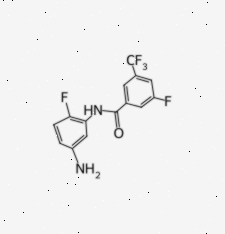 Nc1ccc(F)c(NC(=O)c2cc(F)cc(C(F)(F)F)c2)c1